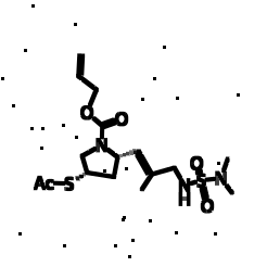 C=CCOC(=O)N1C[C@@H](SC(C)=O)C[C@H]1/C=C(\C)CNS(=O)(=O)N(C)C